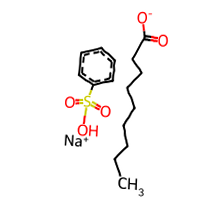 CCCCCCCCC(=O)[O-].O=S(=O)(O)c1ccccc1.[Na+]